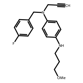 C#CCN(Cc1ccc(F)cc1)c1ccc(NCCCOC)cc1